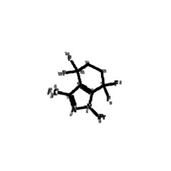 CC(C)n1nc(C(F)(F)F)c2c1C(F)(F)CCC2(F)F